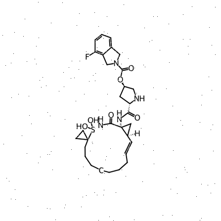 O=C(N[C@]12C[C@H]1/C=C/CCCCCCCC1(CC1)S(O)(O)NC2=O)[C@@H]1C[C@@H](OC(=O)N2Cc3cccc(F)c3C2)CN1